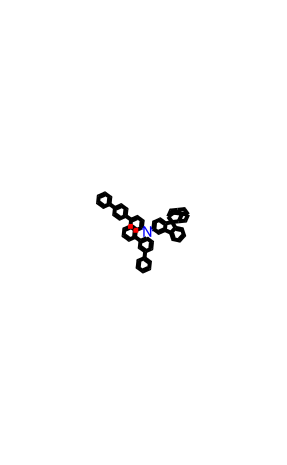 c1ccc(-c2ccc(-c3ccc(N(c4ccc5c(c4)-c4ccccc4C54C5CC6CC(C5)CC4C6)c4ccc(-c5ccccc5)cc4-c4ccccc4)cc3)cc2)cc1